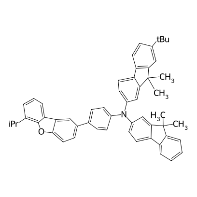 CC(C)c1cccc2c1oc1ccc(-c3ccc(N(c4ccc5c(c4)C(C)(C)c4ccccc4-5)c4ccc5c(c4)C(C)(C)c4cc(C(C)(C)C)ccc4-5)cc3)cc12